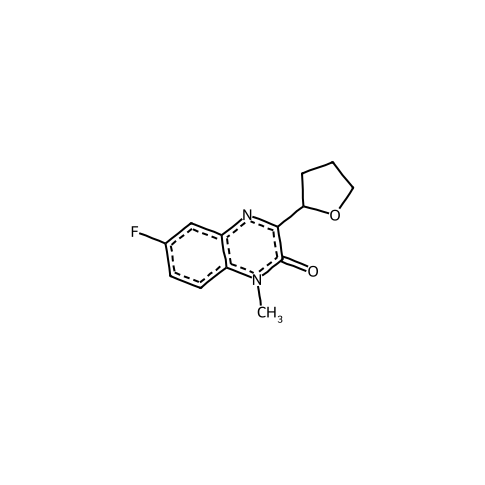 Cn1c(=O)c(C2CCCO2)nc2cc(F)ccc21